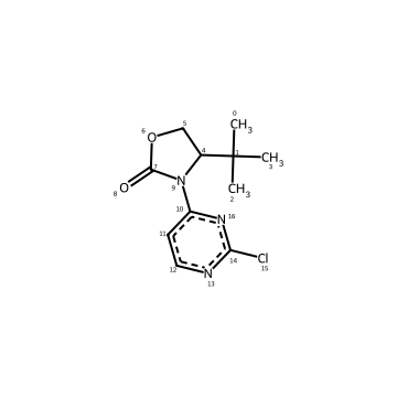 CC(C)(C)C1COC(=O)N1c1ccnc(Cl)n1